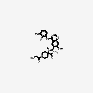 COc1cc2ncnc(Nc3cccc(Cl)c3F)c2cc1CN(C)C1(C(N)=O)CCN(C(=O)CO)CC1